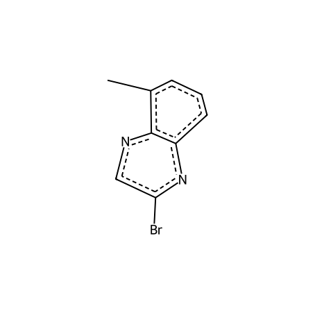 Cc1cccc2nc(Br)cnc12